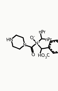 CCCC(CCC)[N+]([O-])(C(=O)N1CCNCC1)C(C(=O)O)c1ccccc1